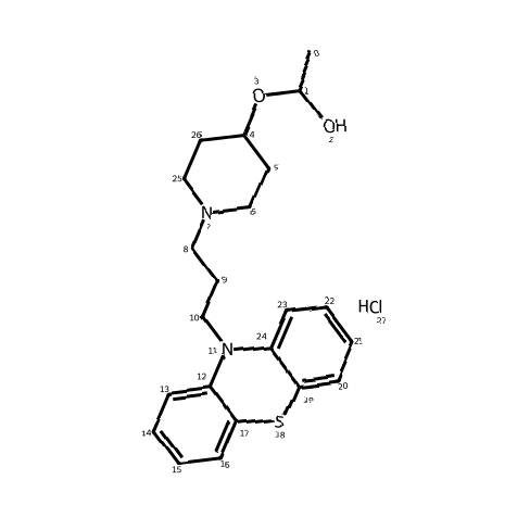 CC(O)OC1CCN(CCCN2c3ccccc3Sc3ccccc32)CC1.Cl